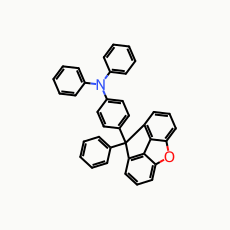 c1ccc(N(c2ccccc2)c2ccc(C3(c4ccccc4)c4cccc5oc6cccc3c6c45)cc2)cc1